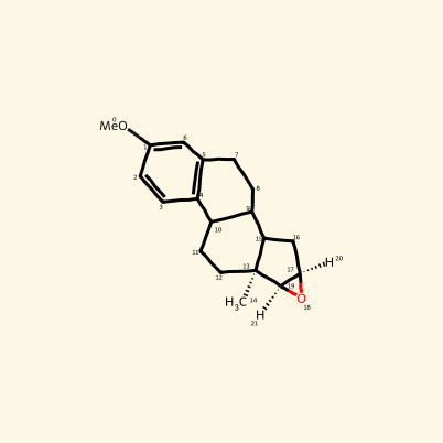 COc1ccc2c(c1)CCC1C2CC[C@@]2(C)C1C[C@H]1O[C@H]12